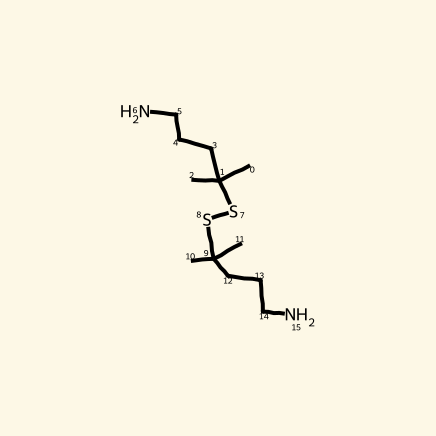 CC(C)(CCCN)SSC(C)(C)CCCN